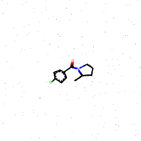 CC1CCCN1C(=O)c1ccc(Cl)cc1